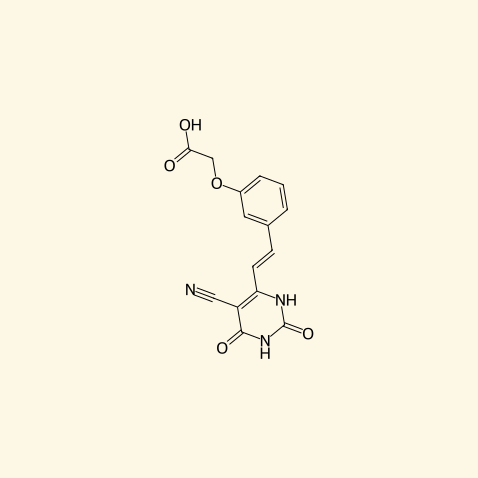 N#Cc1c(C=Cc2cccc(OCC(=O)O)c2)[nH]c(=O)[nH]c1=O